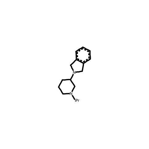 CC(C)N1CCCC(N2Cc3ccccc3C2)C1